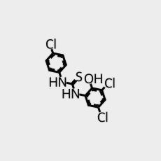 Oc1c(Cl)cc(Cl)cc1NC(=S)Nc1ccc(Cl)cc1